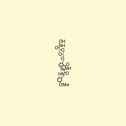 COc1cccc(CNC(=O)c2nc3scc(COCC4COC(C(=O)NCO)CO4)c3c(=O)[nH]2)c1